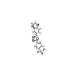 FC(F)(F)c1ccc(-c2nnc(-c3ccc4nccnc4c3)o2)cc1